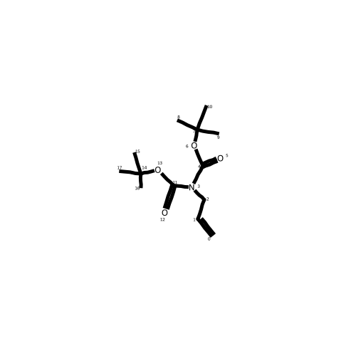 C=CCN(C(=O)OC(C)(C)C)C(=O)OC(C)(C)C